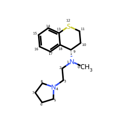 CN(CCN1CCCC1)[C@H]1CCSc2ccccc21